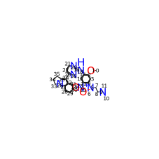 COc1cc(N(C)CCN(C)C)c([N+](=O)[O-])cc1Nc1nccc(-c2c3n(c4ccccc24)CCC3)n1